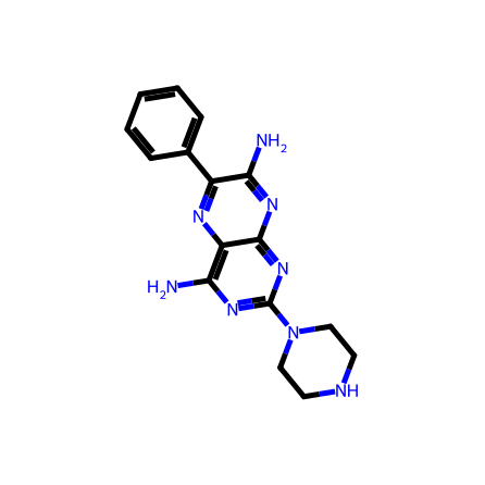 Nc1nc2nc(N3CCNCC3)nc(N)c2nc1-c1ccccc1